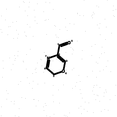 O=CC1=COCC=N1